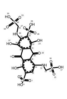 O=C1c2c(O)c(S(=O)(=O)O)cc(NCS(=O)(=O)O)c2C(=O)c2c(O)c(S(=O)(=O)O)c(NCS(=O)(=O)O)c(O)c21